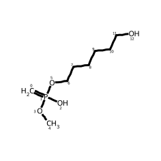 C=P(O)(OC)OCCCCCCO